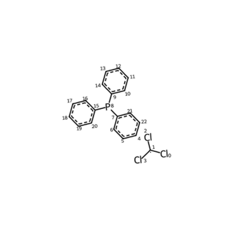 Cl[C](Cl)Cl.c1ccc(P(c2ccccc2)c2ccccc2)cc1